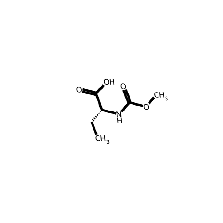 CC[C@@H](NC(=O)OC)C(=O)O